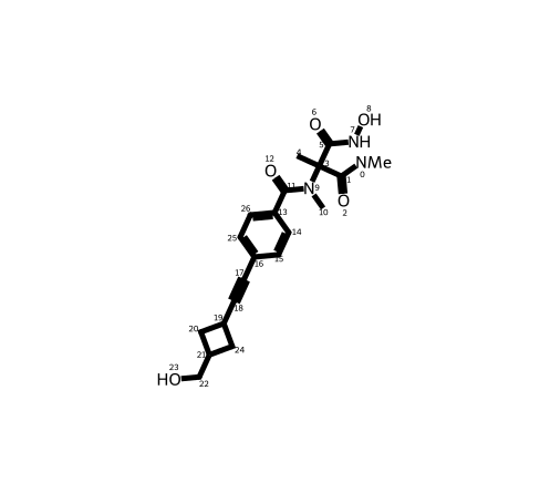 CNC(=O)C(C)(C(=O)NO)N(C)C(=O)c1ccc(C#CC2CC(CO)C2)cc1